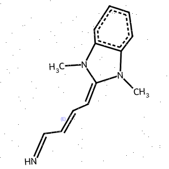 CN1C(=C/C=C/C=N)N(C)c2ccccc21